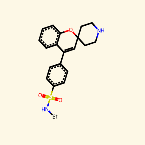 CCNS(=O)(=O)c1ccc(C2=CC3(CCNCC3)Oc3ccccc32)cc1